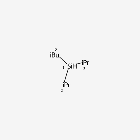 CCC(C)[SiH](C(C)C)C(C)C